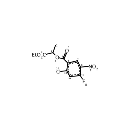 CCOC(=O)C(C)OC(=O)c1cc([N+](=O)[O-])c(F)cc1Cl